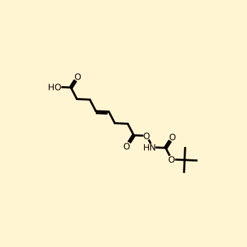 CC(C)(C)OC(=O)NOC(=O)CCC=CCCC(=O)O